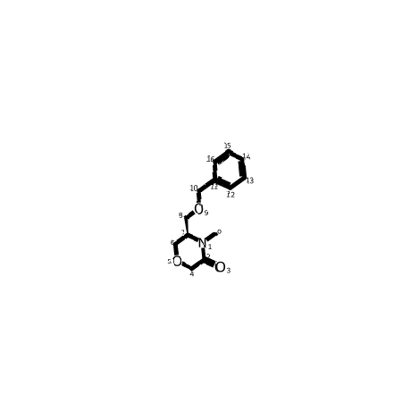 CN1C(=O)COC[C@H]1COCc1ccccc1